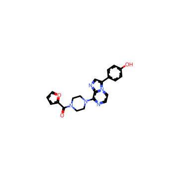 O=C(c1ccco1)N1CCN(c2nccn3c(-c4ccc(O)cc4)cnc23)CC1